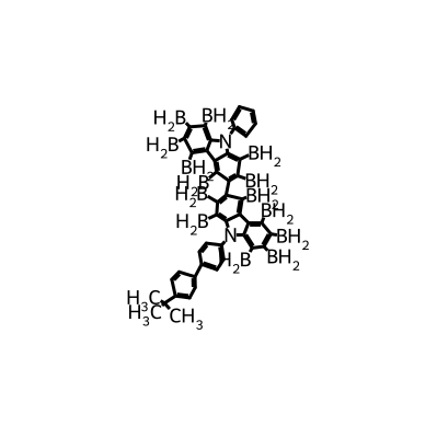 Bc1c(B)c(B)c2c(c1B)c1c(B)c(-c3c(B)c(B)c4c(c3B)c3c(B)c(B)c(B)c(B)c3n4-c3ccc(-c4ccc(C(C)(C)C)cc4)cc3)c(B)c(B)c1n2-c1ccccc1